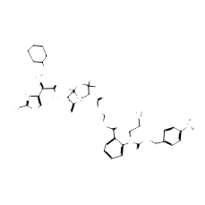 CC1(C)S[C@@H]2[C@@H](NC(=O)/C(=N\OC3CCCCC3)c3csc(N)n3)C(=O)N2[C@H]1C(=O)OCOC(=O)c1ccccc1N(C(=O)CN)C(=O)OCc1ccc([N+](=O)[O-])cc1